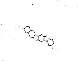 CCCCCCCCCCc1ccc2cc3c(cc2c1)oc1cc2c(cc13)oc1ccc(CCCCCCC)cc12